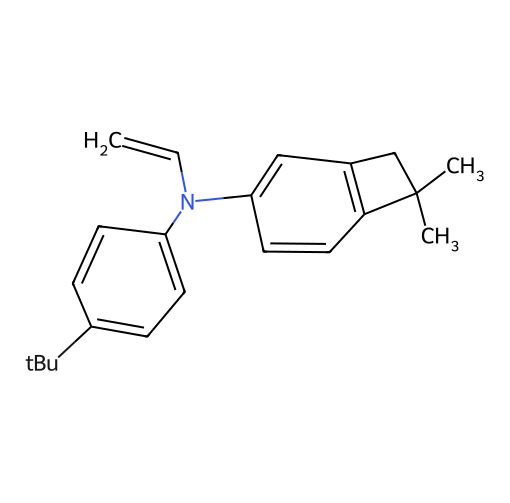 C=CN(c1ccc(C(C)(C)C)cc1)c1ccc2c(c1)CC2(C)C